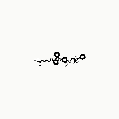 COc1cc(-n2c3ccccc3c3c(OCCCCC(=O)O)cccc32)ccc1OCc1nc(-c2ccccc2)oc1C